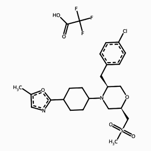 Cc1cnc(C2CCC(N3C[C@H](CS(C)(=O)=O)OC[C@@H]3Cc3ccc(Cl)cc3)CC2)o1.O=C(O)C(F)(F)F